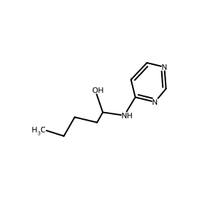 CCCCC(O)Nc1ccncn1